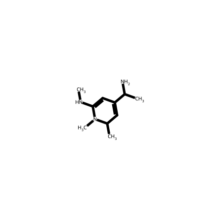 CNC1=CC(C(C)N)=CC(C)N1C